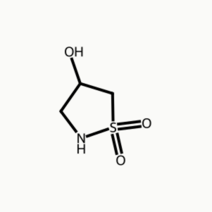 O=S1(=O)CC(O)CN1